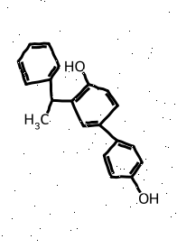 CC(c1ccccc1)c1cc(-c2ccc(O)cc2)ccc1O